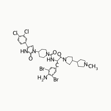 CN1CCC(C2CCN(C(=O)[C@@H](Cc3cc(Br)c(N)c(Br)c3)NC(=O)N3CCC(n4cc(-c5ccc(Cl)c(Cl)c5)[nH]c4=O)CC3)CC2)CC1